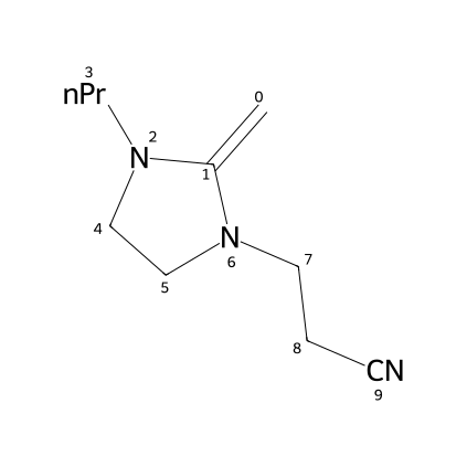 C=C1N(CCC)CCN1CCC#N